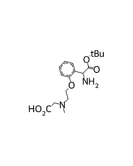 CN(CCOc1ccccc1C(N)C(=O)OC(C)(C)C)CC(=O)O